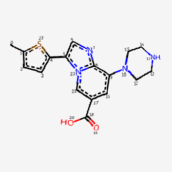 Cc1ccc(-c2cnc3c(N4CCNCC4)cc(C(=O)O)cn23)s1